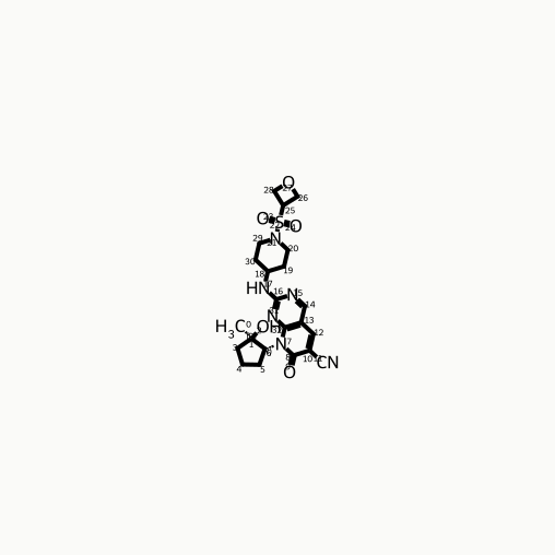 C[C@@]1(O)CCC[C@H]1n1c(=O)c(C#N)cc2cnc(NC3CCN(S(=O)(=O)C4COC4)CC3)nc21